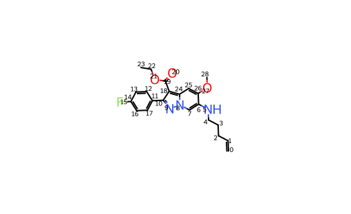 C=CCCCNc1cn2nc(-c3ccc(F)cc3)c(C(=O)OCC)c2cc1OC